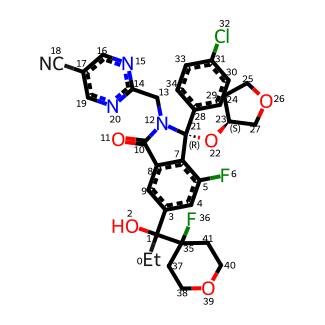 CCC(O)(c1cc(F)c2c(c1)C(=O)N(Cc1ncc(C#N)cn1)[C@@]2(O[C@H]1CCOC1)c1ccc(Cl)cc1)C1(F)CCOCC1